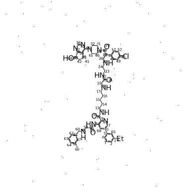 CCc1cccc(-c2cnc(C(=O)NCCCCCNCC(=O)NCCNC[C@@H](C(=O)N3CCN(c4ncnc5c4[C@H](C)C[C@H]5O)CC3)c3ccc(Cl)cc3)c(NC(=O)CNCc3cccc(C)c3)c2)c1